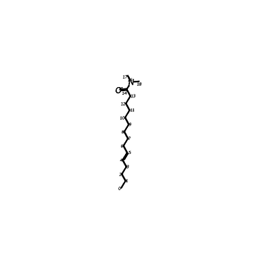 CCCC/C=C/CCCCCCCCC(=O)N(C)C